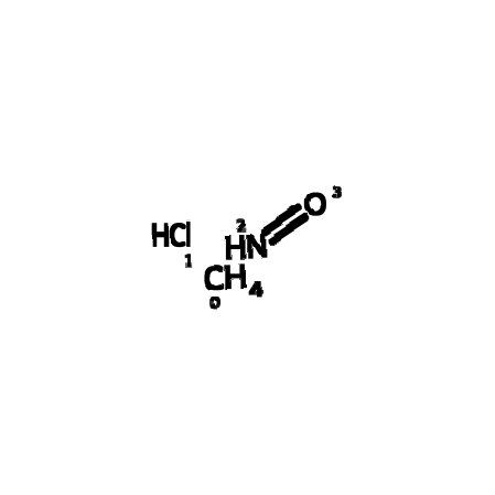 C.Cl.N=O